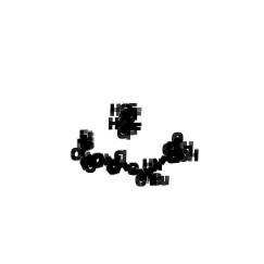 CCc1nc(C(=O)N2CCOC3(CCN(Cc4cccc(CCOCCC(=O)N(CCNCCc5ccc(O)c6c5OCC(=O)N6)[C@H](C)CC)c4Cl)CC3)C2)cs1.O=C(O)C(F)(F)F.O=C(O)C(F)(F)F